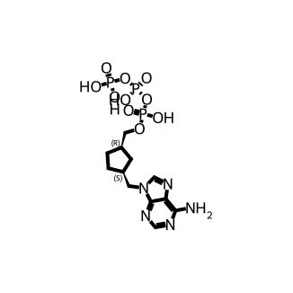 Nc1ncnc2c1ncn2C[C@H]1CC[C@@H](COP(=O)(O)OP(=O)(O)OP(=O)(O)O)C1